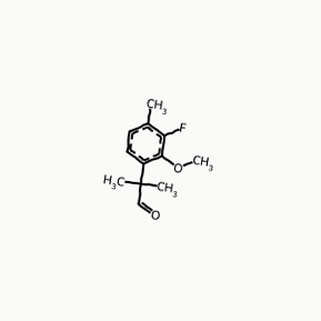 COc1c(C(C)(C)C=O)ccc(C)c1F